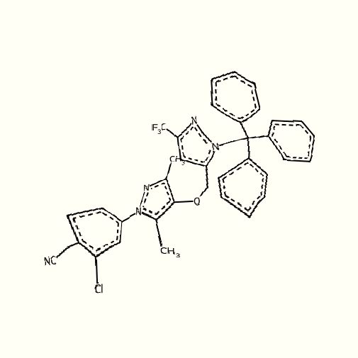 Cc1nn(-c2ccc(C#N)c(Cl)c2)c(C)c1OCc1cc(C(F)(F)F)nn1C(c1ccccc1)(c1ccccc1)c1ccccc1